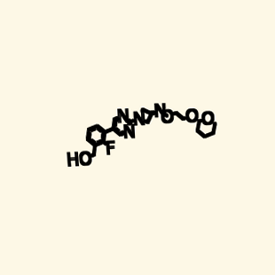 OCc1cccc(-c2cnc(N3CC(=NOCCOC4CCCCO4)C3)nc2)c1F